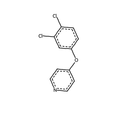 Clc1ccc(Oc2ccncc2)cc1Cl